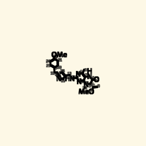 C=C(OC)[C@H]1C(=O)Nc2c(C)nc(NCc3cnn(Cc4ccc(OC)cc4)c3)nc2N1C